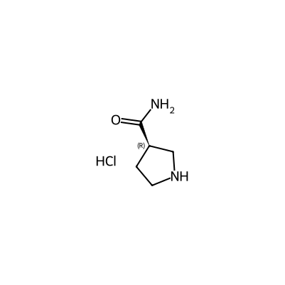 Cl.NC(=O)[C@@H]1CCNC1